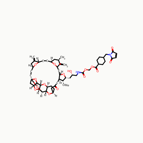 C=C1C[C@@H]2CC[C@@]34C[C@H]5O[C@H]6[C@@H](O3)[C@H]3O[C@H](CC[C@@H]3O[C@H]6[C@H]5O4)CC(=O)C[C@@H]3[C@@H](OC)[C@@H](C[C@H](O)CNC(=O)OCOC(=O)C4CCC(CN5C(=O)C=CC5=O)CC4)O[C@H]3C[C@H]3O[C@@H](CC[C@@H]1O2)C[C@@H](C)C3=C